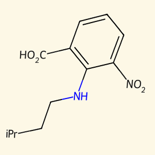 CC(C)CCNc1c(C(=O)O)cccc1[N+](=O)[O-]